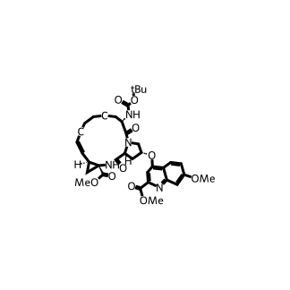 COC(=O)c1cc(O[C@@H]2C[C@H]3C(=O)N[C@]4(C(=O)OC)C[C@H]4/C=C\CCCCC[C@H](NC(=O)OC(C)(C)C)C(=O)N3C2)c2ccc(OC)cc2n1